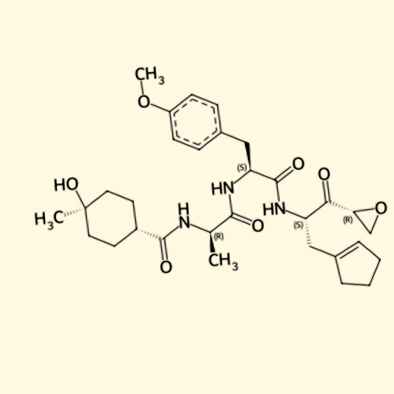 COc1ccc(C[C@H](NC(=O)[C@@H](C)NC(=O)[C@H]2CC[C@](C)(O)CC2)C(=O)N[C@@H](CC2=CCCC2)C(=O)[C@H]2CO2)cc1